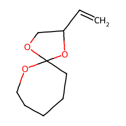 C=CC1COC2(CCCCCO2)O1